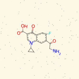 NCC(=O)c1cc2c(cc1F)c(=O)c(C(=O)O)cn2C1CC1